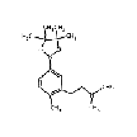 Cc1ccc(B2OC(C)(C)C(C)(C)O2)cc1CCN(C)C=O